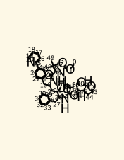 COC(=O)NC(C(=O)NC(Cc1ccc(-c2ccccn2)cc1)CC(O)C(Cc1ccccc1)NC(=O)O[C@H]1CO[C@@H]2OCC[C@@H]21)C(C)(C)C